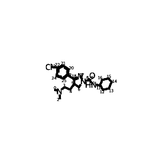 CN(C)CCC1CN(C(=O)NC2CCCCC2)N=C1c1ccc(Cl)cc1